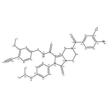 COc1cc(CNC(=O)c2c3n(c(=O)n2-c2ccc(OC(C)C)cc2)CCN(C(=O)c2ccc(Br)c(Cl)c2)C3)ccc1C#N